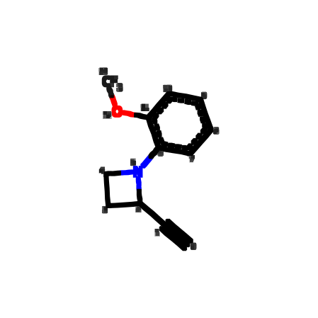 C#CC1CCN1c1ccccc1OC(F)(F)F